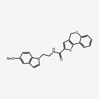 COc1ccc2c(ccn2CCNC(=O)c2cc3c(s2)-c2ccccc2SC3)c1